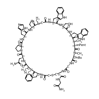 CCCCC[C@H]1C(=O)N(C)[C@@H](CCCC)C(=O)NCC(=O)N[C@H](C(=O)NCC(N)=O)CSCC(=O)N[C@@H](Cc2ccccc2)C(=O)N(C)[C@@H](C)C(=O)N[C@@H](CC(N)=O)C(=O)N2CCC[C@H]2C(=O)N[C@@H](Cc2cnc[nH]2)C(=O)N[C@@H](CC(C)C)C(=O)N(C)CC(=O)N[C@@H](Cc2c[nH]c3ccccc23)C(=O)N[C@@H](CO)C(=O)N[C@@H](Cc2c[nH]c3ccccc23)C(=O)N1C